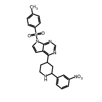 Cc1ccc(S(=O)(=O)n2ccc3c(C4CCNC(c5cccc([N+](=O)[O-])c5)C4)ncnc32)cc1